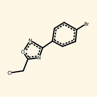 ClCc1nc(-c2ccc(Br)cc2)no1